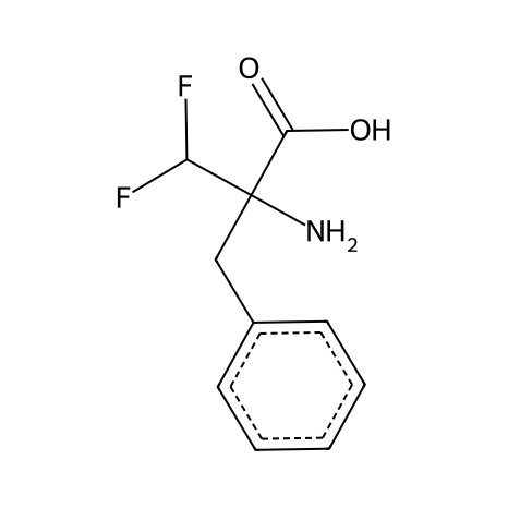 NC(Cc1ccccc1)(C(=O)O)C(F)F